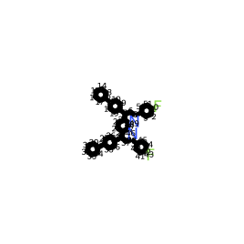 Fc1ccc(-c2cc(-c3ccc(-c4ccccc4)cc3)c3ccc4c(-c5ccc(-c6ccccc6)cc5)cc(-c5ccc(F)cc5)nc4c3n2)cc1